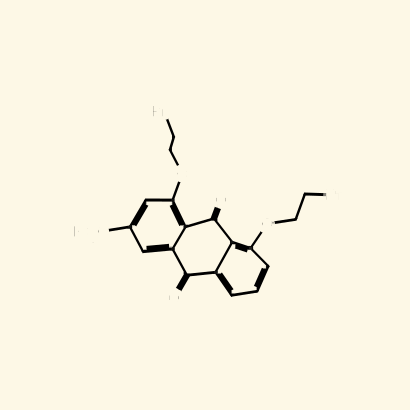 CC(C)CCOc1cccc2c1C(=O)c1c(OCCC(C)C)cc(C(=O)O)cc1C2=O